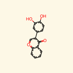 O=c1c(-c2ccc(O)c(O)c2)coc2ccccc12